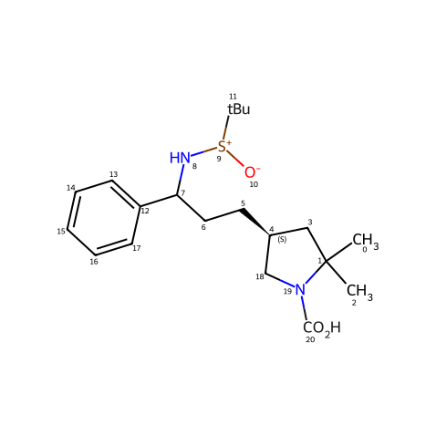 CC1(C)C[C@H](CCC(N[S+]([O-])C(C)(C)C)c2ccccc2)CN1C(=O)O